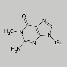 Cn1c(N)nc2c(ncn2C(C)(C)C)c1=O